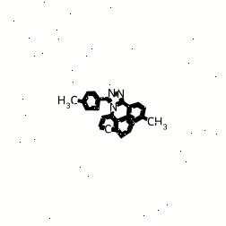 Cc1ccc(-c2nnc(-c3ccc(C)cc3)n2-c2cccc3ccccc23)cc1